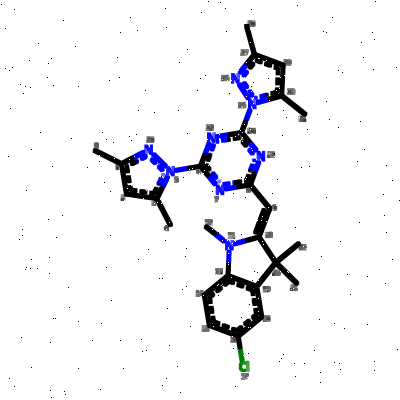 Cc1cc(C)n(-c2nc(/C=C3\N(C)c4ccc(Cl)cc4C3(C)C)nc(-n3nc(C)cc3C)n2)n1